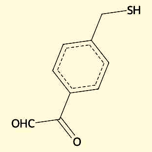 O=CC(=O)c1ccc(CS)cc1